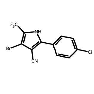 N#Cc1c(-c2ccc(Cl)cc2)[nH]c(C(F)(F)F)c1Br